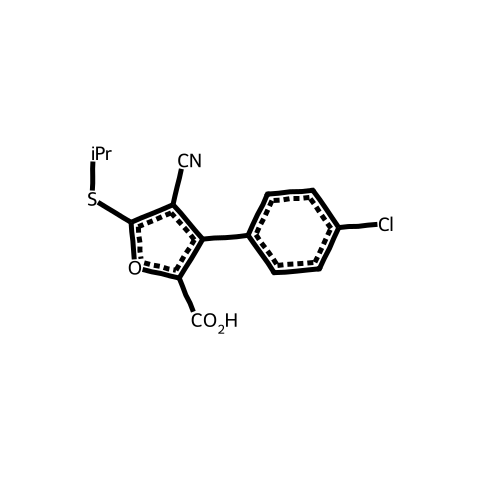 CC(C)Sc1oc(C(=O)O)c(-c2ccc(Cl)cc2)c1C#N